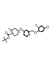 C[C@H]1C[C@@H](Oc2ccnc(COc3ccc(Cl)cc3F)c2)CCN1C(=O)OC(C)(C)C